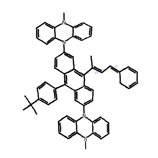 C/C(=C\C=C1\C=CC=CC1)c1c2cc(N3c4ccccc4N(C)c4ccccc43)ccc2c(-c2ccc(C(C)(C)C)cc2)c2cc(N3c4ccccc4N(C)c4ccccc43)ccc12